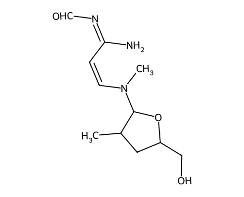 CC1CC(CO)OC1N(C)/C=C\C(N)=N/C=O